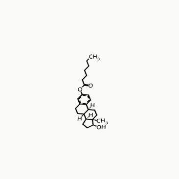 CCCCCCC(=O)Oc1ccc2c(c1)CC[C@@H]1[C@@H]2CC[C@]2(C)[C@@H](O)CC[C@@H]12